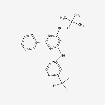 CC(C)(C)ONc1nc(Nc2ccnc(C(F)(F)F)c2)nc(-c2ccccc2)n1